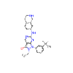 CC(C)(C#N)c1cccc(-n2c3nc(Nc4ccc5c(c4)CNCC5)ncc3c(=O)n2CC(F)(F)F)c1